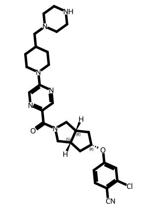 N#Cc1ccc(O[C@@H]2C[C@@H]3CN(C(=O)c4cnc(N5CCC(CN6CCNCC6)CC5)cn4)C[C@@H]3C2)cc1Cl